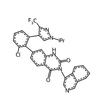 CC(C)n1cc(-c2cccc(Cl)c2-c2ccc3c(=O)n(-c4cncc5ccccc45)c(=O)[nH]c3c2)c(C(F)(F)F)n1